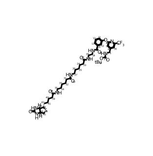 CC(C)(C)OC(=O)NCc1cc(Oc2cccc(C(=O)NCCNC(=O)CCCCCNC(=O)CCCCCNC(=O)CCCC[C@@H]3SC[C@@H]4NC(=O)N[C@@H]43)c2)nc(C(F)(F)F)c1